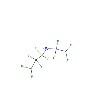 FC(F)C(F)(F)NC(F)(F)C(F)(F)C(F)F